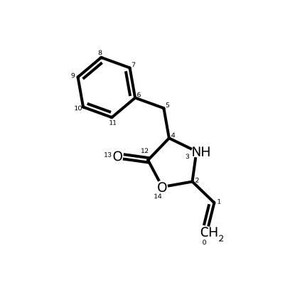 C=CC1NC(Cc2ccccc2)C(=O)O1